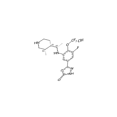 C[C@@H]1CNCC[C@@H]1[C@H](C)Nc1cc(-c2n[nH]c(=O)o2)cc(F)c1OC(F)(F)F.Cl